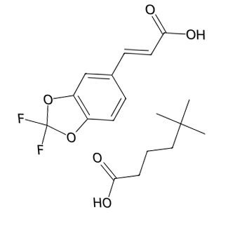 CC(C)(C)CCCC(=O)O.O=C(O)/C=C/c1ccc2c(c1)OC(F)(F)O2